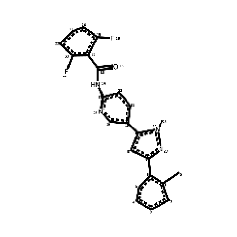 Cc1ccccc1-c1cc(-c2ccc(NC(=O)c3c(F)cccc3F)nc2)n(C)n1